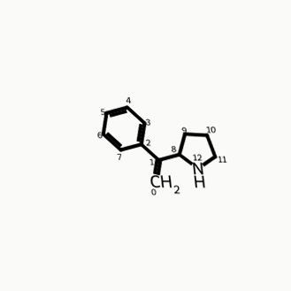 C=C(c1ccccc1)C1CCCN1